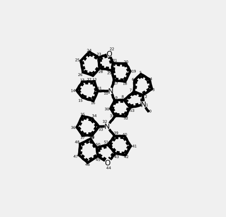 Cn1c2ccccc2c2c(N(c3ccccc3)c3cccc4oc5ccccc5c34)cc(N(c3ccccc3)c3cccc4oc5ccccc5c34)cc21